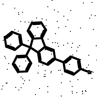 Brc1ccc(-c2ccc3c(c2)-c2ccccc2C3(c2ccccc2)c2ccccc2)cc1